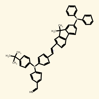 CC(C)(C)c1ccc(N(c2ccc(C=N)cc2)c2ccc(/C=C/c3ccc4c(c3)C(C)(C)c3cc(N(c5ccccc5)c5ccccc5)ccc3-4)cc2)cc1